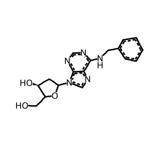 OCC1OC(n2cnc3c(NCc4ccccc4)ncnc32)C[C@@H]1O